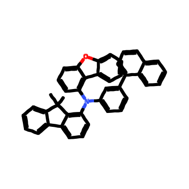 CC1(C)c2ccccc2-c2cccc(N(c3cccc(-c4cccc5ccccc45)c3)c3cccc4oc5ccccc5c34)c21